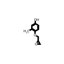 Cc1cc(O)ccc1OCC1CO1